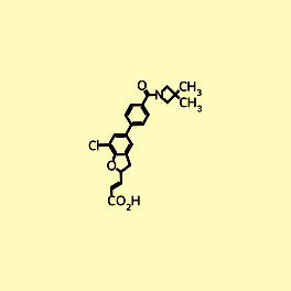 CC1(C)CN(C(=O)c2ccc(-c3cc(Cl)c4c(c3)CC(/C=C/C(=O)O)O4)cc2)C1